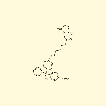 COc1ccc(C(O)(c2ccccc2)c2ccc(OCCCCCC(=O)ON3C(=O)CCC3=O)cc2)cc1